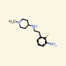 CN1CCC(NCCc2cccc(N)c2F)CC1